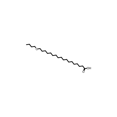 CCCCOCCCCCCCCCCCCCCCCCC(=O)O